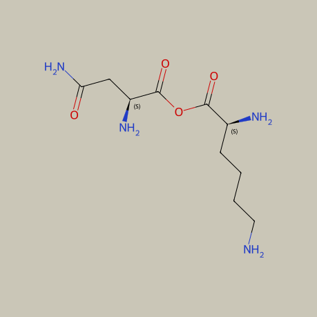 NCCCC[C@H](N)C(=O)OC(=O)[C@@H](N)CC(N)=O